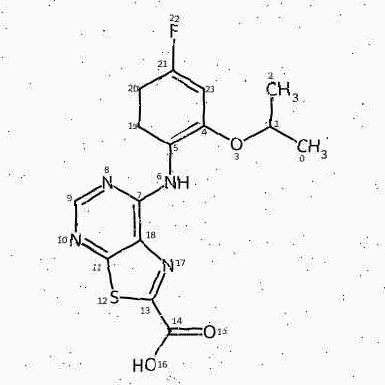 CC(C)OC1=C(Nc2ncnc3sc(C(=O)O)nc23)CCC(F)=C1